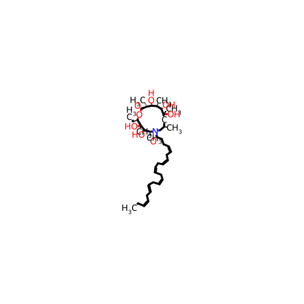 CC/C=C\C/C=C/C/C=C\C/C=C\C/C=C\C/C=C\CCC(=O)N1C[C@H](C)C[C@@](C)(O)[C@H](O)[C@@H](C)[C@H](O)[C@@H](C)C(=O)O[C@H](CC)[C@@](C)(O)[C@H](O)[C@H]1C